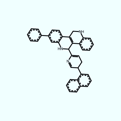 C1=NC(C2Nc3cc(-c4ccccc4)ccc3C3=C2c2ccccc2NC3)=CCC1c1cccc2ccccc12